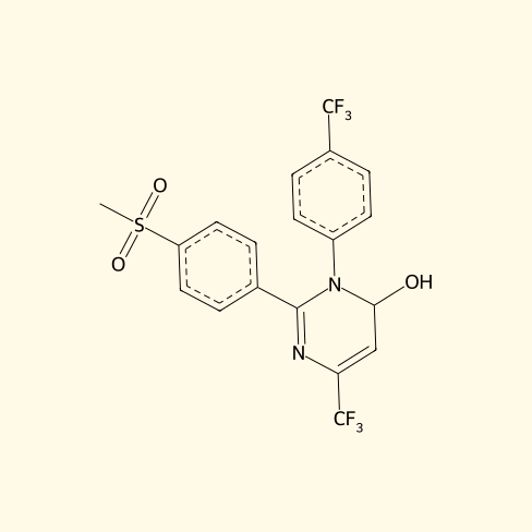 CS(=O)(=O)c1ccc(C2=NC(C(F)(F)F)=CC(O)N2c2ccc(C(F)(F)F)cc2)cc1